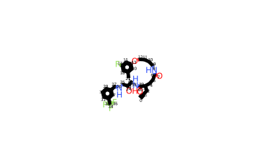 C#CCC1CCC(=O)NCCCCOc2cc(F)cc(c2)C[C@@H]([C@H](O)CNCc2cccc(C(F)(F)F)c2)NC1=O